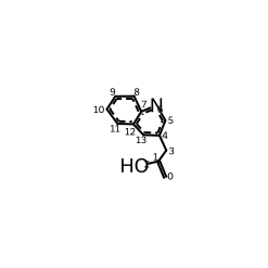 C=C(O)Cc1cnc2ccccc2c1